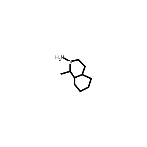 CC1C2CCCCC2CCN1N